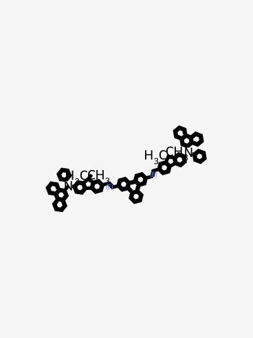 CC1(C)c2cc(/C=C/c3ccc4c5ccc(/C=C/c6ccc7c(c6)C(C)(C)c6cc(N(c8ccccc8)c8cc9ccccc9c9ccccc89)ccc6-7)cc5c5ccccc5c4c3)ccc2-c2ccc(N(c3ccccc3)c3cc4ccccc4c4ccccc34)cc21